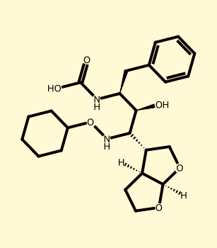 O=C(O)N[C@@H](Cc1ccccc1)[C@@H](O)C(NOC1CCCCC1)[C@@H]1CO[C@H]2OCC[C@H]21